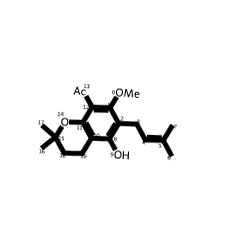 COc1c(CC=C(C)C)c(O)c2c(c1C(C)=O)OC(C)(C)CC2